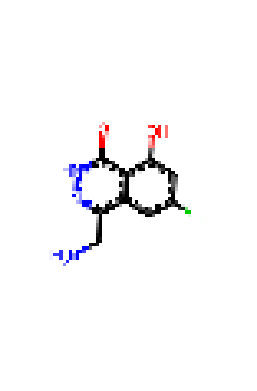 NCc1n[nH]c(=O)c2c(O)cc(Cl)cc12